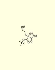 CC(C)(C)OC(=O)[C@](N)(CCCO)C(=O)O